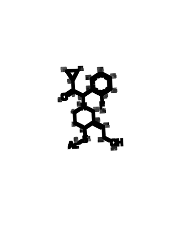 CC(=O)SC1CCN(C(C(=O)C2CC2)c2ccccc2F)C/C1=C/CO